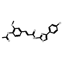 COc1cc(C=CC(=O)Nc2nc(-c3ccc(Cl)cc3)cs2)ccc1OC(C)=O